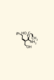 C=CC(=O)O.CC(C)CC=C(CO)C(N)=O